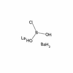 OB(O)Cl.[BaH2].[La]